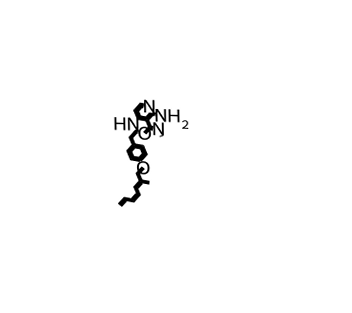 C=C/C=C\C=C(/C)COc1ccc(CC(=N)O/C(=N\C)c2cccnc2N)cc1